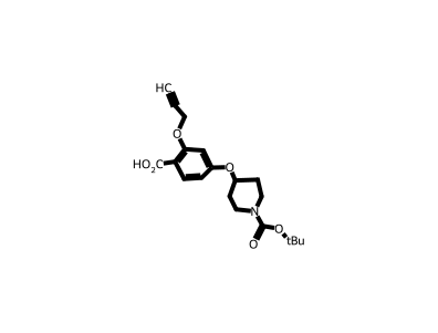 C#CCOc1cc(OC2CCN(C(=O)OC(C)(C)C)CC2)ccc1C(=O)O